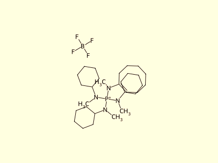 CN(/C1=C/CCCCCC1)[P+](N(C)C1CCCCC1)(N(C)C1CCCCC1)N(C)C1CCCCC1.F[B-](F)(F)F